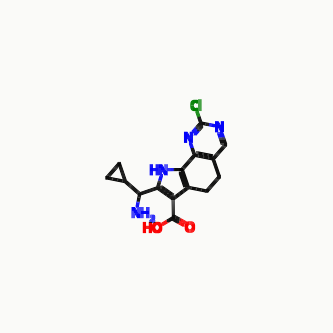 NC(c1[nH]c2c(c1C(=O)O)CCc1cnc(Cl)nc1-2)C1CC1